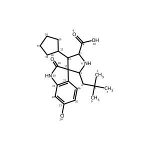 CC(C)(C)CC1NC(C(=O)O)C(C2CCCC2)C12C(=O)Nc1cc(Cl)ccc12